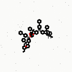 C=Cc1ccc(CC2(c3ccccc3)c3ccccc3-c3ccc(N(c4ccc(-c5ccccc5)cc4)c4ccc(-c5ccc(N(c6ccc(-c7ccccc7)cc6)c6ccc7c(c6)C6(c8ccccc8)CC8=C[C@@H](C9=CCCC6=C97)C(C=C)CC8)cc5C(C)(c5ccccc5)c5ccccc5)cc4)cc32)cc1